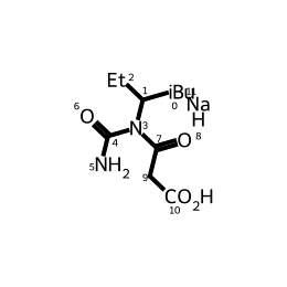 CCC(C)C(CC)N(C(N)=O)C(=O)CC(=O)O.[NaH]